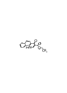 CCOC(=O)c1c[nH]c2c(ccc3ccccc32)c1=O